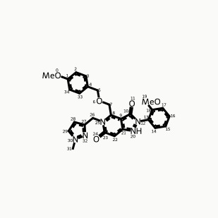 COc1ccc(COCc2c3c(=O)n(-c4ccccc4OC)[nH]c3cc(=O)n2Cc2ccn(C)n2)cc1